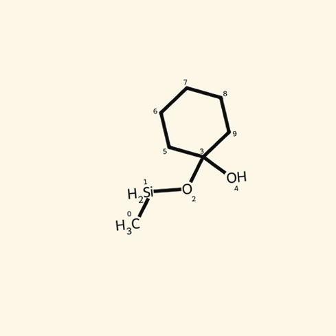 C[SiH2]OC1(O)CCCCC1